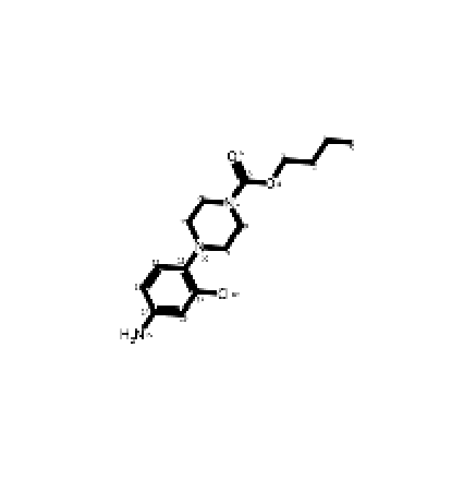 CCCCOC(=O)N1CCN(c2ccc(N)cc2Cl)CC1